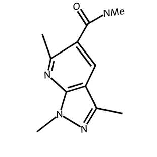 CNC(=O)c1cc2c(C)nn(C)c2nc1C